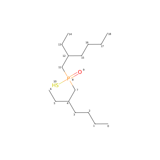 CCCCC(CC)CP(=O)(S)CC(CC)CCCC